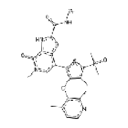 Cc1ccnc(C)c1Oc1c(-c2cn(C)c(=O)c3[nH]c(C(=O)NC(C)C)cc23)sc(P(C)(C)=O)c1C